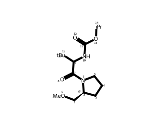 COC[C@@H]1CCCN1C(=O)C(NC(=O)OC(C)C)C(C)(C)C